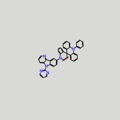 c1ccc(N2c3ccccc3C3(c4ccccc42)c2ccccc2N(c2ccc4c(c2)c2ncccc2n4-c2ncccn2)c2ccccc23)cc1